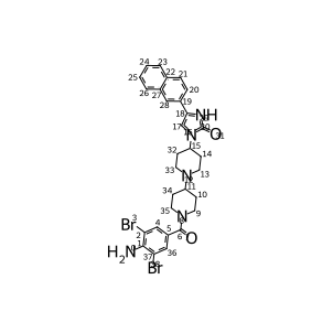 Nc1c(Br)cc(C(=O)N2CCC(N3CCC(n4cc(-c5ccc6ccccc6c5)[nH]c4=O)CC3)CC2)cc1Br